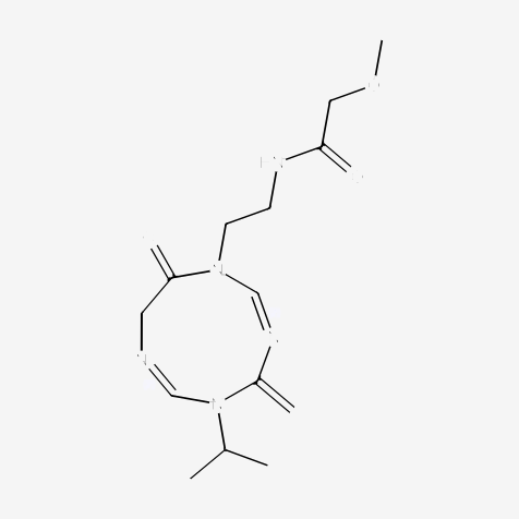 C=C1/N=C\N(CCNC(=O)COC)C(=O)C/N=C\N1C(C)C